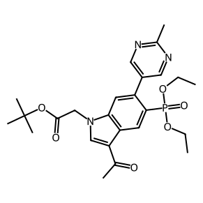 CCOP(=O)(OCC)c1cc2c(C(C)=O)cn(CC(=O)OC(C)(C)C)c2cc1-c1cnc(C)nc1